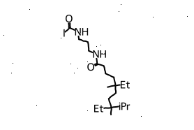 CCC(C)(CCCC(=O)NCCCNC(=O)I)CCC(C)(CC)C(C)C